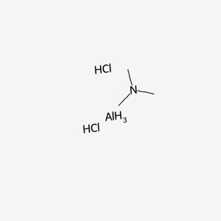 CN(C)C.Cl.Cl.[AlH3]